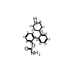 NC(=O)Oc1ccccc1-c1ccccc1C1CCNCC1